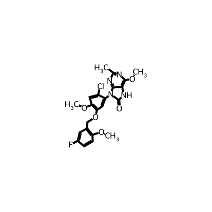 COc1ccc(F)cc1COc1cc(-n2c(=O)[nH]c3c(OC)nc(C)nc32)c(Cl)cc1OC